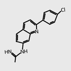 CC(=N)Nc1ccc2ccc(-c3ccc(Cl)cc3)nc2c1